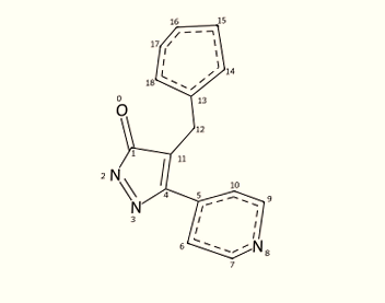 O=C1N=NC(c2ccncc2)=C1Cc1ccccc1